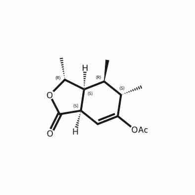 CC(=O)OC1=C[C@H]2C(=O)O[C@H](C)[C@H]2[C@@H](C)[C@@H]1C